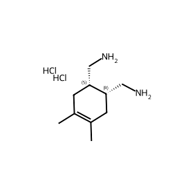 CC1=C(C)C[C@H](CN)[C@H](CN)C1.Cl.Cl